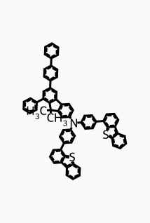 CC1(C)c2cc(N(c3ccc(-c4cccc5c4sc4ccccc45)cc3)c3ccc(-c4cccc5c4sc4ccccc45)cc3)ccc2-c2cc(-c3ccc(-c4ccccc4)cc3)cc(-c3ccccc3)c21